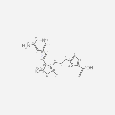 C=C(O)c1ccc(CCC[C@H]2C(C)C[C@@H](O)C2/C=C/c2cncc(N)c2)s1